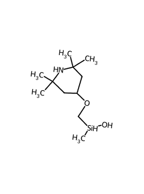 C[SiH](O)COC1CC(C)(C)NC(C)(C)C1